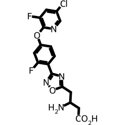 NC(CC(=O)O)Cc1nc(-c2ccc(Oc3ncc(Cl)cc3F)cc2F)no1